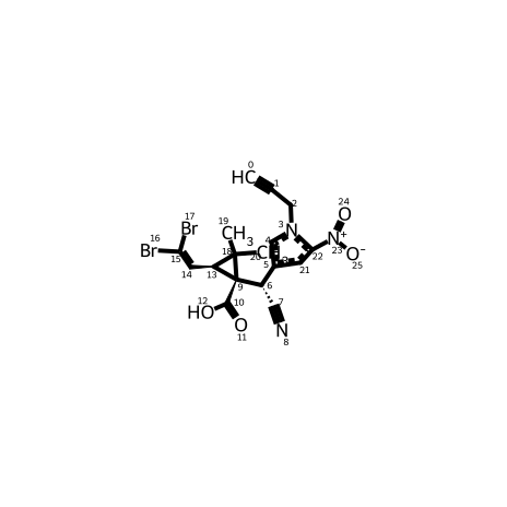 C#CCn1cc([C@H](C#N)[C@]2(C(=O)O)[C@@H](C=C(Br)Br)C2(C)C)cc1[N+](=O)[O-]